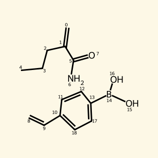 C=C(CCC)C(N)=O.C=Cc1ccc(B(O)O)cc1